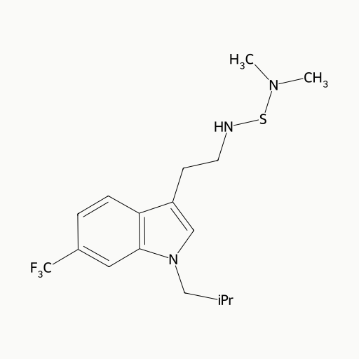 CC(C)Cn1cc(CCNSN(C)C)c2ccc(C(F)(F)F)cc21